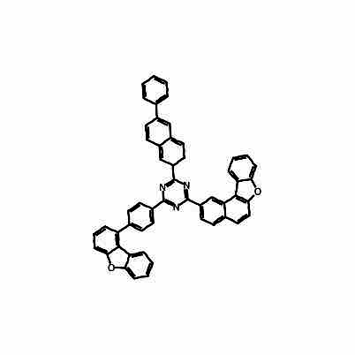 C1=c2ccc(-c3ccccc3)cc2=CCC1c1nc(-c2ccc(-c3cccc4oc5ccccc5c34)cc2)nc(-c2ccc3ccc4oc5ccccc5c4c3c2)n1